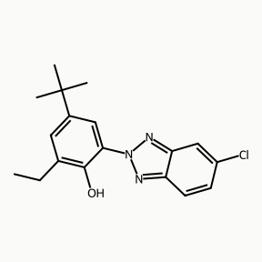 CCc1cc(C(C)(C)C)cc(-n2nc3ccc(Cl)cc3n2)c1O